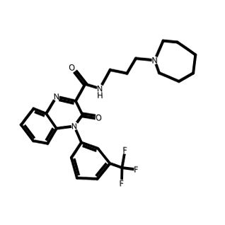 O=C(NCCCN1CCCCCC1)c1nc2ccccc2n(-c2cccc(C(F)(F)F)c2)c1=O